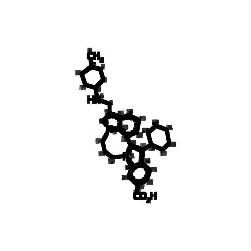 CC1CCC(NCc2cn3c4c(cccc24)-c2c(C4CCCCC4)c4ccc(C(=O)O)cc4n2CCC3)CC1